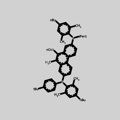 CCCCCCCCc1c(C)c2cc(N(c3ccc(C(C)(C)C)cc3)c3c(C)cc(CCCC)cc3C)ccc2c2ccc(N(c3c(C)cc(CCCC)cc3C)C(C)CCC)cc12